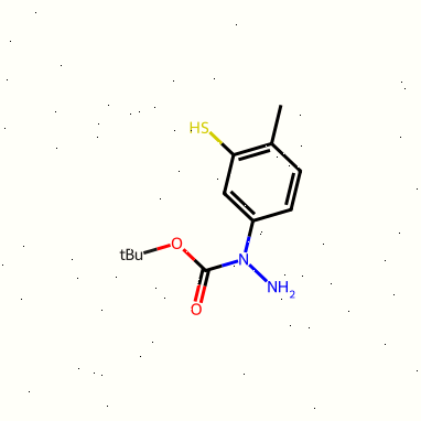 Cc1ccc(N(N)C(=O)OC(C)(C)C)cc1S